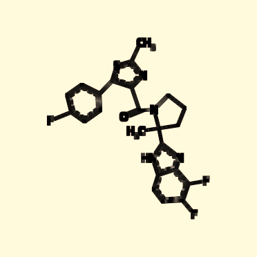 Cc1nc(C(=O)N2CCCC2(C)c2nc3c(F)c(F)ccc3[nH]2)c(-c2ccc(F)cc2)s1